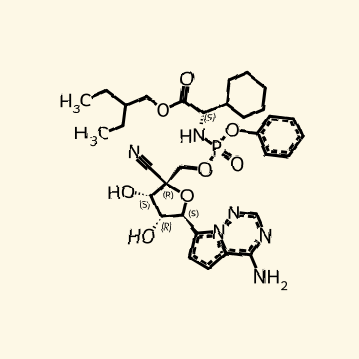 CCC(CC)COC(=O)[C@@H](NP(=O)(OC[C@@]1(C#N)O[C@@H](c2ccc3c(N)ncnn23)[C@H](O)[C@@H]1O)Oc1ccccc1)C1CCCCC1